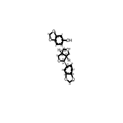 Oc1cc2c(cc1[C@@H]1OC[C@H]3[C@@H]1CO[C@@H]3c1ccc3c(c1)OCO3)OCO2